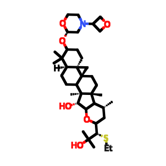 CCS[C@@H](C1C[C@@H](C)C2C(O1)[C@H](O)[C@@]1(C)C3CC[C@H]4C(C)(C)C(O[C@H]5CN(C6COC6)CCO5)CC[C@@]45C[C@@]35CC[C@]21C)C(C)(C)O